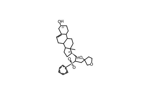 CC12CCC3C4CC[C@H](O)CC4=CCC3C1CC[C@@H]2CC(CC1(O)CCOC1)S(=O)(=O)c1ccccc1